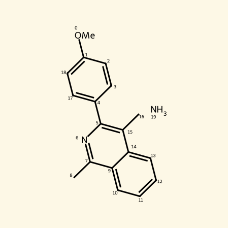 COc1ccc(-c2nc(C)c3ccccc3c2C)cc1.N